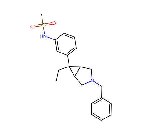 CCC1(c2cccc(NS(C)(=O)=O)c2)C2CN(Cc3ccccc3)CC21